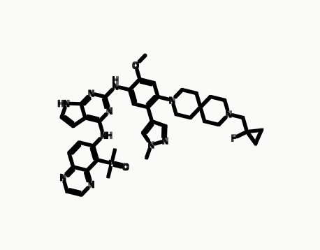 COc1cc(N2CCC3(CCN(CC4(F)CC4)CC3)CC2)c(-c2cnn(C)c2)cc1Nc1nc(Nc2ccc3nccnc3c2P(C)(C)=O)c2cc[nH]c2n1